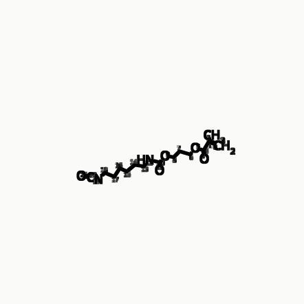 C=C(C)C(=O)OCCCOC(=O)NCCCCCCN=C=O